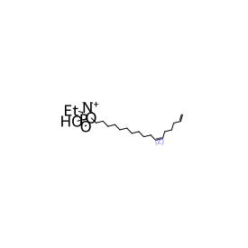 C=CCCC/C=C\CCCCCCCCCCOP(=O)(O)C(CC)[N+](C)(C)C